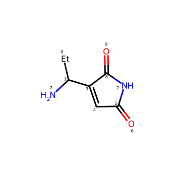 CCC(N)C1=CC(=O)NC1=O